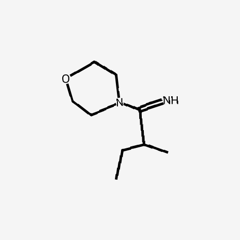 CCC(C)C(=N)N1CCOCC1